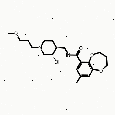 COCCCN1CC[C@@H](CNC(=O)c2cc(C)cc3c2OCCCO3)[C@H](O)C1